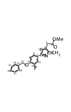 COC(=O)Cc1nn(-c2ccc(OCc3ccccc3)c(F)c2)nc1C